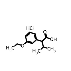 CCOc1cccc(C(C(=O)O)C(C)C)c1.Cl